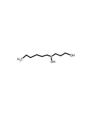 CCCCCCN(O)CCCO